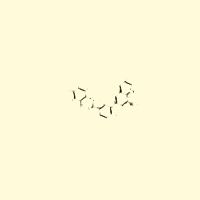 O=C(Nc1ccc(C(F)(F)F)cc1F)c1cccc(-c2cc(O)c3ncccc3c2)c1